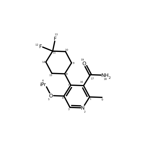 Cc1ncc(OC(C)C)c(C2CCC(F)(F)CC2)c1C(N)=O